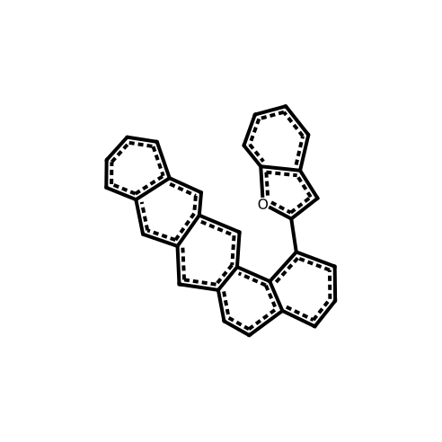 c1ccc2cc3cc4c(ccc5cccc(-c6cc7ccccc7o6)c54)cc3cc2c1